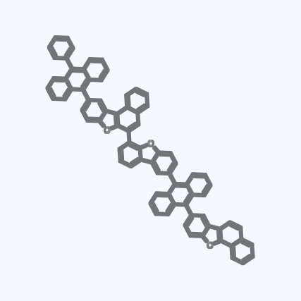 c1ccc(-c2c3ccccc3c(-c3ccc4oc5c(-c6cccc7c6oc6ccc(-c8c9ccccc9c(-c9ccc%10oc%11c%12ccccc%12ccc%11c%10c9)c9ccccc89)cc67)cc6ccccc6c5c4c3)c3ccccc23)cc1